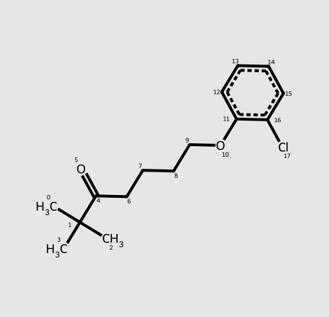 CC(C)(C)C(=O)CCCCOc1ccccc1Cl